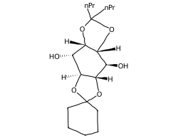 CCCC1(CCC)O[C@@H]2[C@@H](O)[C@@H]3OC4(CCCCC4)O[C@H]3[C@H](O)[C@@H]2O1